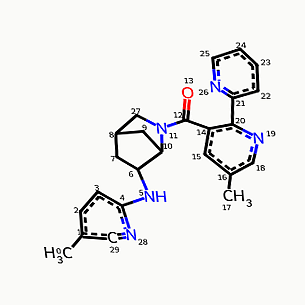 Cc1ccc(NC2CC3CC2N(C(=O)c2cc(C)cnc2-c2ccccn2)C3)nc1